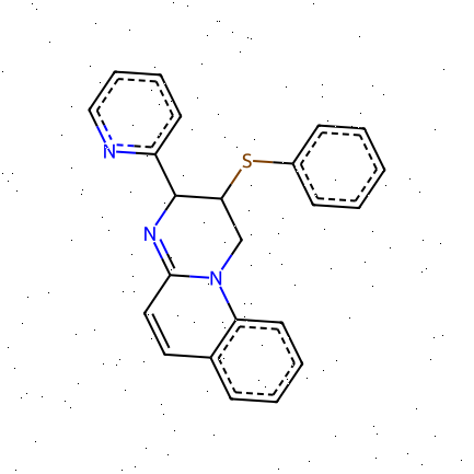 C1=Cc2ccccc2N2CC(Sc3ccccc3)C(c3ccccn3)N=C12